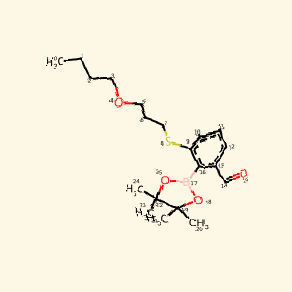 CCCCOCCCSc1cccc(C=O)c1B1OC(C)(C)C(C)(C)O1